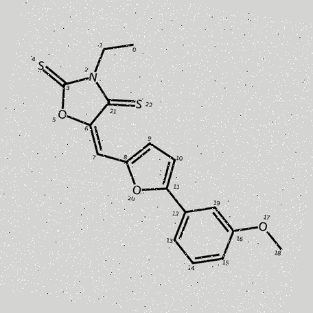 CCN1C(=S)OC(=Cc2ccc(-c3cccc(OC)c3)o2)C1=S